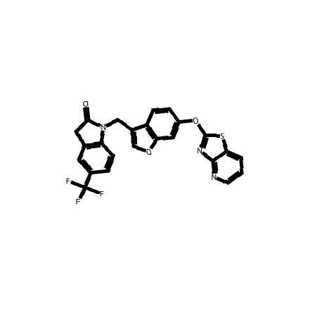 O=C1Cc2cc(C(F)(F)F)ccc2N1Cc1coc2cc(Oc3nc4ncccc4s3)ccc12